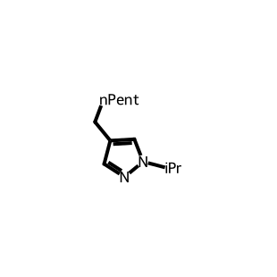 CCCCCCc1cnn(C(C)C)c1